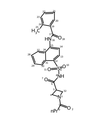 CCCC(=O)N1CC(C(=O)NS(=O)(=O)c2ccc(NC(=O)c3ccccc3C)c3ccccc23)C1